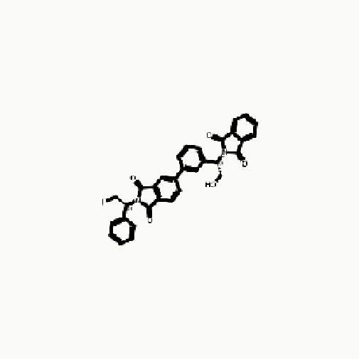 O=C1c2ccccc2C(=O)N1[C@H](CO)c1cccc(-c2ccc3c(c2)C(=O)N([C@H](CF)c2ccccc2)C3=O)c1